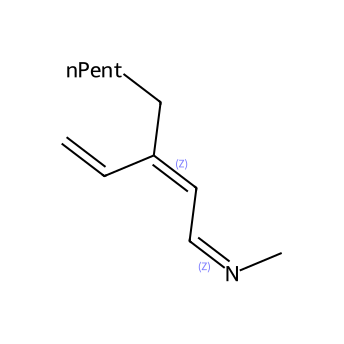 C=C/C(=C\C=N/C)CCCCCC